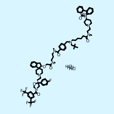 CN(CCN1CCC(N(C(=O)O)c2ccccc2-c2ccccc2)CC1)C(=O)CCCCCN(Cc1ccc(C(=O)N(C)CCCN(C)C(=O)CO[C@H]2Cc3ccccc3C23CCN(CC[C@]2(c4ccc(F)cc4)CN(C(=O)c4cc(C(F)(F)F)cc(C(F)(F)F)c4)CO2)CC3)cc1)CC(C)(C)C.Cl.Cl.Cl